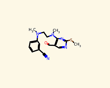 CSc1ncc(C=O)c(N(C)CCN(C)c2cccc(C#N)c2)n1